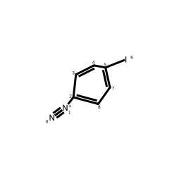 N#[N+]c1ccc(I)cc1